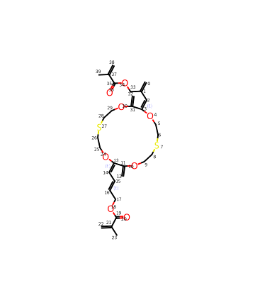 C=C(/C=C1/OCCSCCOC(=C)/C(=C\C=C\COC(=O)C(=C)C)OCCSCCOC1=C)COC(=O)C(=C)C